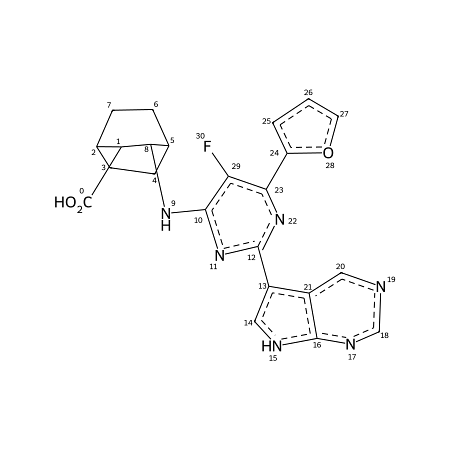 O=C(O)C1C2CCC(CC2)C1Nc1nc(-c2c[nH]c3ncncc23)nc(-c2ccco2)c1F